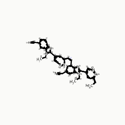 CCc1cc(-c2nc3c(/C=C\c4cc(-c5nc6ccc(C#N)cc6n5CC)cnn4)cc(C#N)cc3n2CC)cnn1